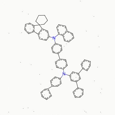 c1ccc(-c2ccc(N(c3ccc(-c4ccc(N(c5ccc6c(c5)C5(CCCCC5)c5ccccc5-6)c5cccc6ccccc56)cc4)cc3)c3cc(-c4ccccc4)cc(-c4ccccc4)c3)cc2)cc1